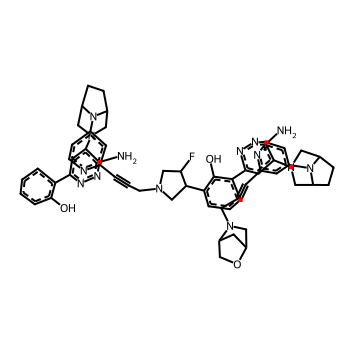 Nc1nnc(-c2ccccc2O)cc1N1CC2CCC(C1)N2c1ccnc(C#CCN2CC(F)C(c3cccc(-c4cc(N5CC6CCC(C5)N6c5ccnc(C#CCN6CC7CC6CO7)c5)c(N)nn4)c3O)C2)c1